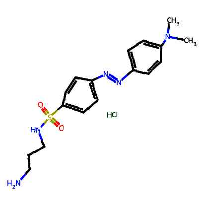 CN(C)c1ccc(N=Nc2ccc(S(=O)(=O)NCCCN)cc2)cc1.Cl